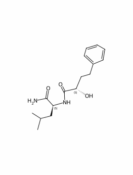 CC(C)C[C@H](NC(=O)[C@@H](O)CCc1ccccc1)C(N)=O